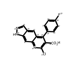 O=C(O)c1c(Cl)nc2cc3[nH]ncc3cc2c1-c1ccc(F)cc1